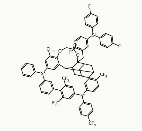 Cc1cc([S+](c2ccccc2)c2cccc(-c3c(C(F)(F)F)cc([S+](c4ccc(C(F)(F)F)cc4)c4ccc(C(F)(F)F)cc4)cc3C(F)(F)F)c2)cc2c1OCC(=O)OC1(Cc3cc([S+](c4ccc(F)cc4)c4ccc(F)cc4)ccc3F)C3CC4CC(C3)C2C1C4